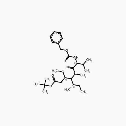 CC[C@H](C)C([C@@H](CC(=O)OC(C)(C)C)OC)N(C)C(=O)[C@@H](NC(=O)OCc1ccccc1)C(C)C